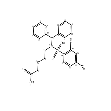 O=C(O)COCCN(C(c1ccccc1)c1ccccc1)S(=O)(=O)c1ccc(Cl)cc1Cl